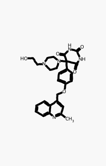 Cc1cc(COc2ccc(C3(N4CCN(CCO)CC4)C(=O)NC(=O)NC3=O)cc2)c2ccccc2n1